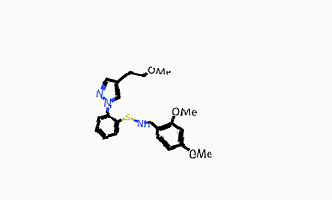 COCCc1cnn(-c2ccccc2SNCc2ccc(OC)cc2OC)c1